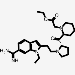 CCOC(=O)CN1CCCCC1C(=O)[C@@H]1CCCN1CCc1cc2ccc(C(=N)N)cc2n1CC